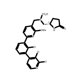 COc1nc(-c2cccc(-c3ccnc(Cl)c3Cl)c2Cl)ccc1CN(C[C@@H]1CCC(=O)N1)C(=O)O